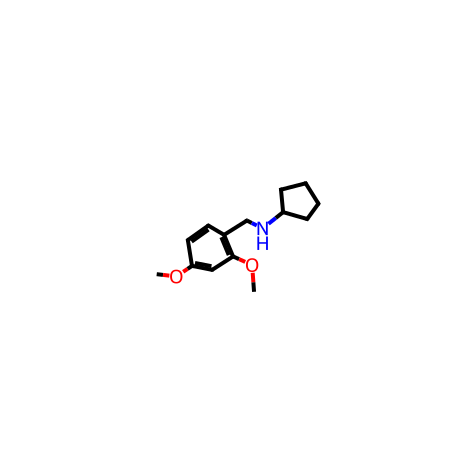 COc1ccc(CNC2CCCC2)c(OC)c1